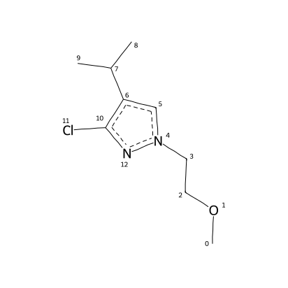 COCCn1cc(C(C)C)c(Cl)n1